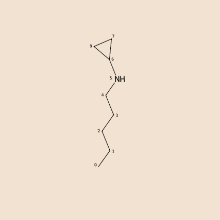 CCCCCNC1CC1